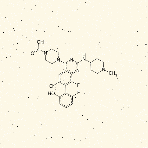 CN1CCC(Nc2nc(N3CCN(C(=O)O)CC3)c3cc(Cl)c(-c4c(O)cccc4F)c(F)c3n2)CC1